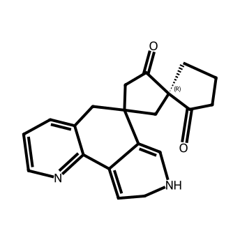 O=C1CCC[C@@]12CC1(CC2=O)Cc2cccnc2C2=CCNC=C21